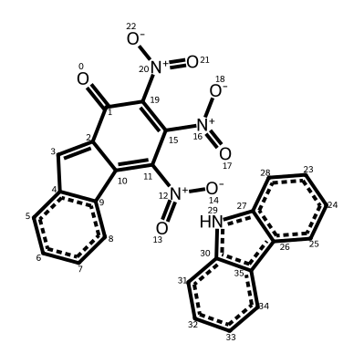 O=C1C2=Cc3ccccc3C2=C([N+](=O)[O-])C([N+](=O)[O-])=C1[N+](=O)[O-].c1ccc2c(c1)[nH]c1ccccc12